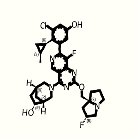 C[C@H]1C[C@H]1c1c(Cl)cc(O)cc1-c1ncc2c(N3C[C@@H]4C[C@H](C3)[C@H](O)C4)nc(OC[C@@]34CCCN3C[C@H](F)C4)nc2c1F